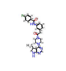 CC1CNc2ncnc(N3CCN(C(=O)Cc4cccc(NC(=O)c5ccc(F)cc5)c4)CC3)c21